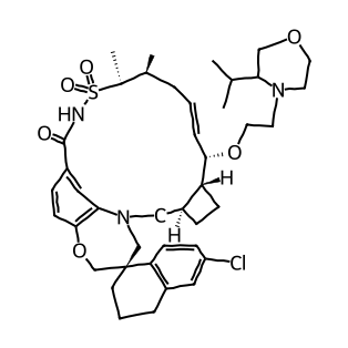 CC(C)C1COCCN1CCO[C@H]1/C=C/C[C@H](C)[C@@H](C)S(=O)(=O)NC(=O)c2ccc3c(c2)N(C[C@@H]2CC[C@H]21)C[C@@]1(CCCc2cc(Cl)ccc21)CO3